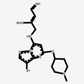 CN/C(=C\C=N)CNc1cc(OC2CCN(C)CC2)nc2c(C(C)C)cnn12